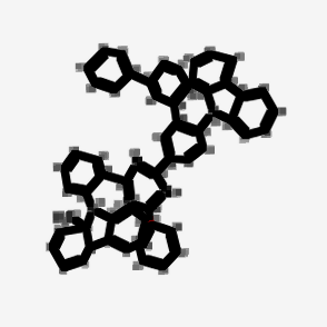 CC12C=CC=CC1c1ccccc1N2c1ccccc1-c1nc(-c2ccccc2)nc(-c2ccc(-n3c4ccccc4c4ccccc43)c(-c3cccc(-c4ccccc4)c3)c2)n1